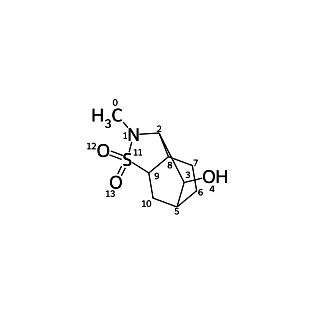 CN1C2C(O)C3CCC2C(C3)S1(=O)=O